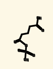 O=C(O)CCCC(=O)OS(=O)(=O)O